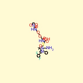 CC(C)(C)C(c1cc(-c2cc(F)ccc2F)cn1Cc1ccccc1)N(CCCN)C(=O)CSCC(NC(=O)CCOCCOCCNC(=O)CN1C(=O)C=CC1=O)C(=O)O